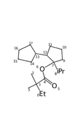 CCC(C)(C)C(=O)OC1(C(C)C)CCCC1C1CCCC1